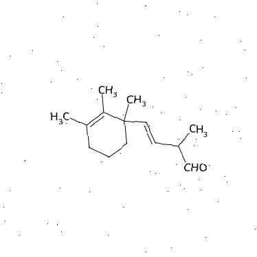 CC1=C(C)C(C)(C=CC(C)C=O)CCC1